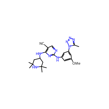 COc1cc(Nc2ncc(C#N)c(NC3CC(C)(C)NC(C)(C)C3)n2)cc(-n2nnnc2C)c1